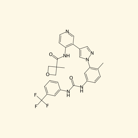 Cc1ccc(NC(=O)Nc2cccc(C(F)(F)F)c2)cc1-n1cc(-c2cnccc2NC(=O)C2(C)COC2)cn1